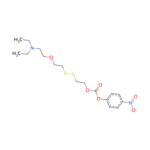 CCN(CC)CCOCCSSCCOC(=O)Oc1ccc([N+](=O)[O-])cc1